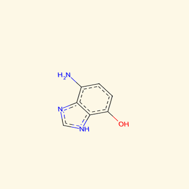 Nc1ccc(O)c2[nH]cnc12